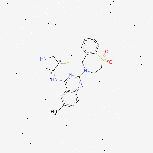 Cc1ccc2nc(N3CCS(=O)(=O)c4ccccc4C3)nc(N[C@@H]3CNC[C@H]3F)c2c1